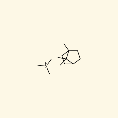 CC12CCC(CC1)C2(C)C.C[SiH](C)C